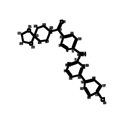 O=C(c1ccc(Nc2nccc(-c3ccc(Cl)cc3)n2)cc1)N1CCC2(CC1)OCCO2